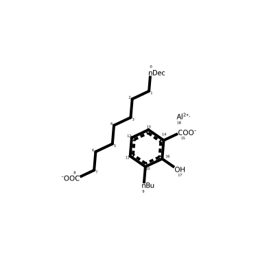 CCCCCCCCCCCCCCCCCC(=O)[O-].CCCCc1cccc(C(=O)[O-])c1O.[Al+2]